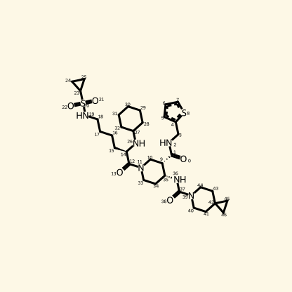 O=C(NCc1cccs1)[C@H]1CN(C(=O)[C@@H](CCCCNS(=O)(=O)C2CC2)NC2CCCCC2)CC[C@H]1NC(=O)N1CCC2(CC1)CC2